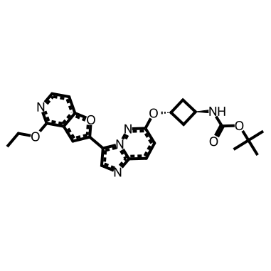 CCOc1nccc2oc(-c3cnc4ccc(O[C@H]5C[C@H](NC(=O)OC(C)(C)C)C5)nn34)cc12